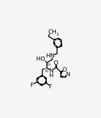 CCc1cccc(CNC[C@H](O)[C@H](Cc2cc(F)cc(F)c2)NC(=O)c2ccno2)c1